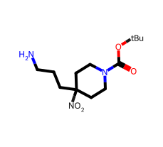 CC(C)(C)OC(=O)N1CCC(CCCN)([N+](=O)[O-])CC1